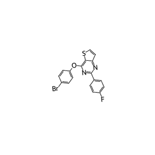 Fc1ccc(-c2nc(Oc3ccc(Br)cc3)c3sccc3n2)cc1